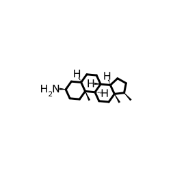 C[C@@H]1CC[C@@H]2[C@H]3CC[C@@H]4C[C@H](N)CC[C@@]4(C)[C@@H]3CC[C@@]12C